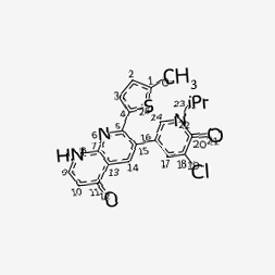 Cc1ccc(-c2nc3[nH]ccc(=O)c3cc2-c2cc(Cl)c(=O)n(C(C)C)c2)s1